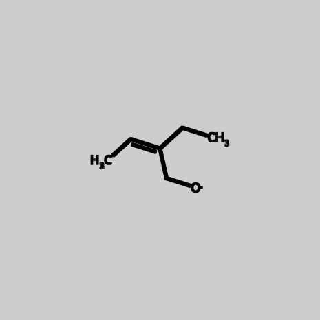 CC=C(CC)C[O]